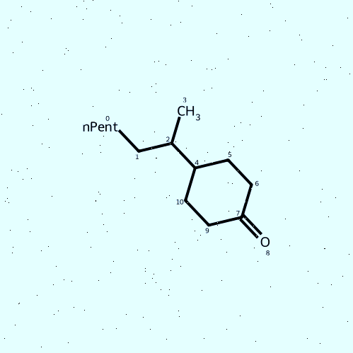 CCCCCCC(C)C1CCC(=O)CC1